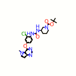 Cn1ccc2ncnc(Oc3ccc(NC(=O)NC4CCCN(C(=O)OC(C)(C)C)C4)c(Cl)c3)c21